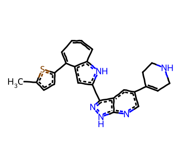 Cc1ccc(C2=CC=C=Cc3[nH]c(-c4n[nH]c5ncc(C6=CCNCC6)cc45)cc32)s1